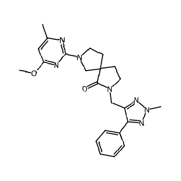 COc1cc(C)nc(N2CCC3(CCN(Cc4nn(C)nc4-c4ccccc4)C3=O)C2)n1